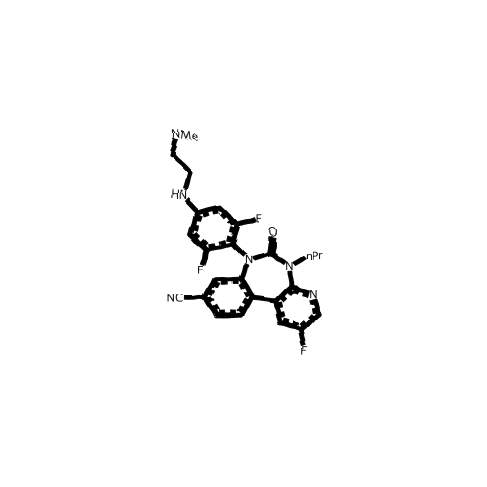 CCCN1C(=O)N(c2c(F)cc(NCCNC)cc2F)c2cc(C#N)ccc2-c2cc(F)cnc21